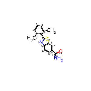 Cc1cccc(C)c1-c1nc2ccc(C(N)=O)cc2s1